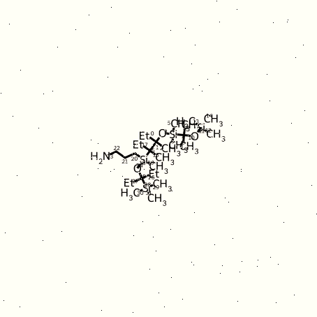 CCC(C)(O[Si](C)(C)C(C)(C)O[Si](C)(C)C)C(C)(CC)[Si](C)(CCCN)OC(CC)(CC)[Si](C)(C)C